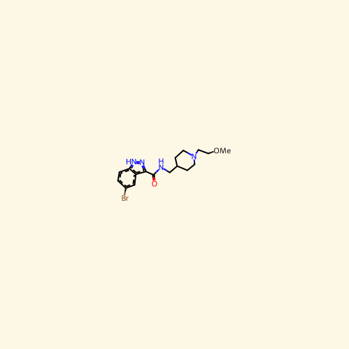 COCCN1CCC(CNC(=O)c2n[nH]c3ccc(Br)cc23)CC1